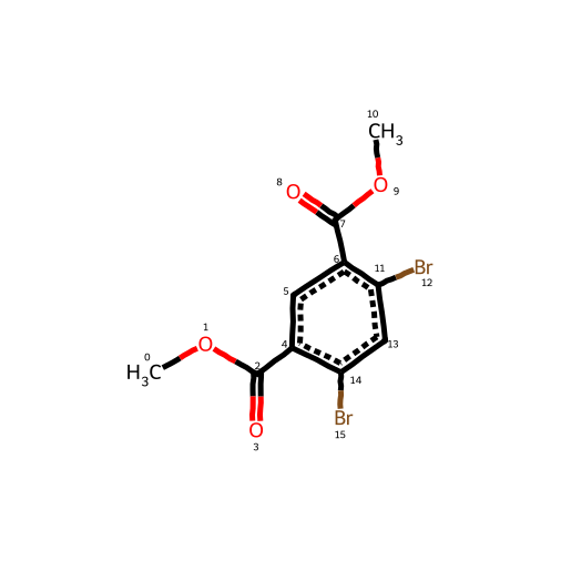 COC(=O)c1cc(C(=O)OC)c(Br)cc1Br